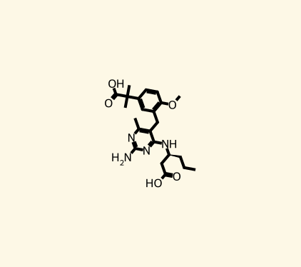 CCC[C@@H](CC(=O)O)Nc1nc(N)nc(C)c1Cc1cc(C(C)(C)C(=O)O)ccc1OC